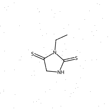 CCN1C(=S)CNC1=S